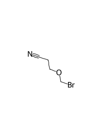 N#CCCOCBr